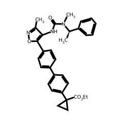 CCOC(=O)C1(c2ccc(-c3ccc(-c4onc(C)c4NC(=O)N(C)[C@H](C)c4ccccc4)cc3)cc2)CC1